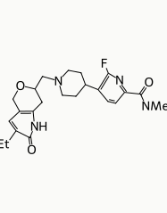 CCc1cc2c([nH]c1=O)CC(CN1CCC(c3ccc(C(=O)NC)nc3F)CC1)OC2